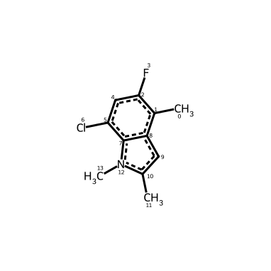 Cc1c(F)cc(Cl)c2c1cc(C)n2C